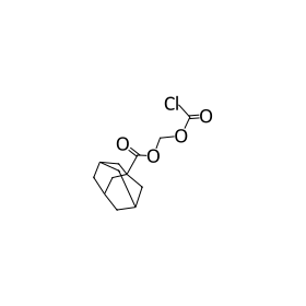 O=C(Cl)OCOC(=O)C12CC3CC(CC(C3)C1)C2